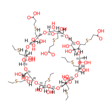 CCCSCC1O[C@@H]2O[C@@H]3C(CSCCC(=O)O)O[C@H](O[C@@H]4C(CSCCC(=O)O)O[C@H](O[C@@H]5C(CSCCC(=O)O)O[C@H](O[C@@H]6C(CSCC)O[C@H](O[C@@H]7C(O)[C@@H](OC(CSCC)[C@H]7O)O[C@@H]7C(CSCC)O[C@H](O[C@@H]8C(CSCC)O[C@H](O[C@H]1[C@H](O)C2O)C(O)[C@H]8O)C(O)[C@H]7O)C(O)[C@H]6O)[C@@H](O)C5O)C(O)[C@H]4O)C(O)[C@H]3O